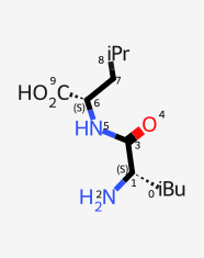 CCC(C)[C@H](N)C(=O)N[C@@H](CC(C)C)C(=O)O